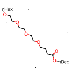 CCCCCCCCCCOC(=O)CCCOCCOCCOCCOCCCCCC